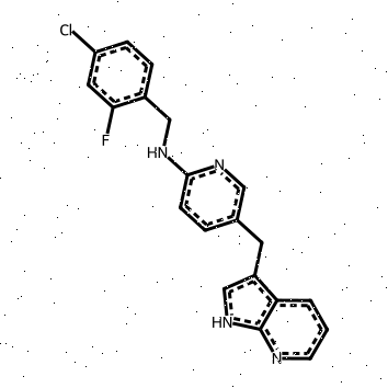 Fc1cc(Cl)ccc1CNc1ccc(Cc2c[nH]c3ncccc23)cn1